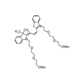 COCCOCCOCCN1/C(=C\C=C/C2=[N+](CCOCCOCCOC)c3ccccc3C2)C(C)(C)c2ccccc21